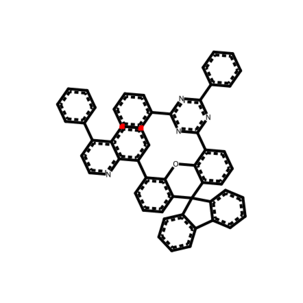 c1ccc(-c2nc(-c3ccccc3)nc(-c3cccc4c3Oc3c(-c5cccc6c(-c7ccccc7)ccnc56)cccc3C43c4ccccc4-c4ccccc43)n2)cc1